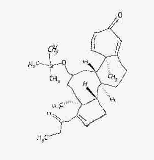 CCC(=O)C1=CC[C@H]2[C@@H]3CCC4=CC(=O)C=C[C@]4(C)[C@H]3C(O[Si](C)(C)C)C[C@]12C